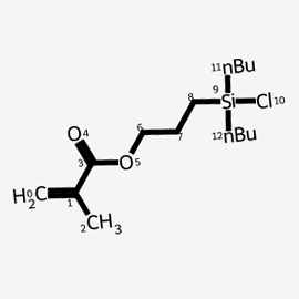 C=C(C)C(=O)OCCC[Si](Cl)(CCCC)CCCC